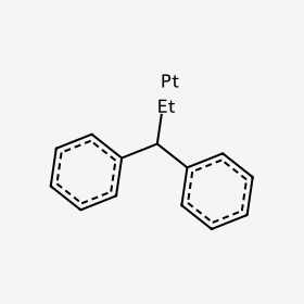 CCC(c1ccccc1)c1ccccc1.[Pt]